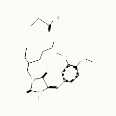 CCC(=O)O.CCCCC(CC)CN1C(=O)NC(=Cc2ccc(OC)c(OC)c2)C1=O